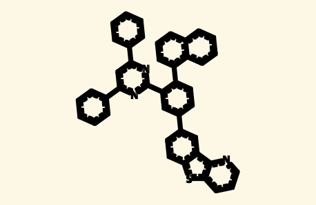 c1ccc(-c2cc(-c3ccccc3)nc(-c3cc(-c4ccc5sc6cccnc6c5c4)ccc3-c3cccc4ccccc34)n2)cc1